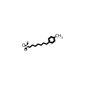 Cc1ccc(CCCCCCCS(=O)(=O)F)cc1